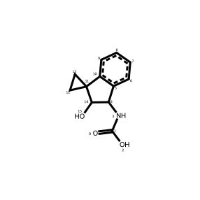 O=C(O)NC1c2ccccc2C2(CC2)C1O